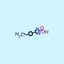 C=CCc1ccc(-c2cnc(C(=O)O)nc2)cc1